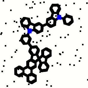 c1ccc(-n2c3ccccc3c3cc(-c4ccc5c(c4)c4ccccc4n5-c4cccc(-c5ccc6c(c5)-c5cc7c8ccccc8c8ccccc8c7cc5C65c6ccccc6-c6ccccc65)c4)ccc32)cc1